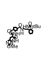 COc1ncc2cc(C(=O)Nc3cc(C(=O)NCCC(NC(=O)OC(C)(C)C)c4ccccc4)ccc3Cl)c(=O)[nH]c2n1